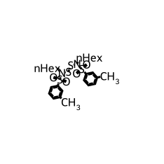 CCCCCCN(SSN(CCCCCC)S(=O)(=O)c1cccc(C)c1)S(=O)(=O)c1cccc(C)c1